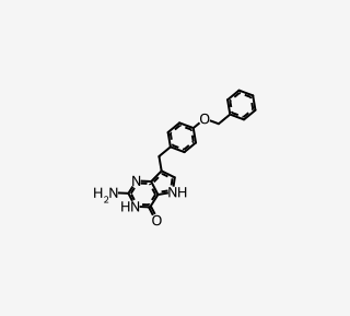 Nc1nc2c(Cc3ccc(OCc4ccccc4)cc3)c[nH]c2c(=O)[nH]1